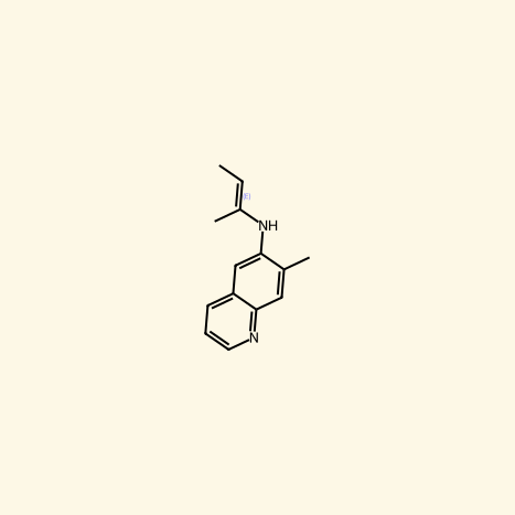 C/C=C(\C)Nc1cc2cccnc2cc1C